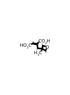 CC1(C/C(=C\C(=O)O)C(=O)O)COC1